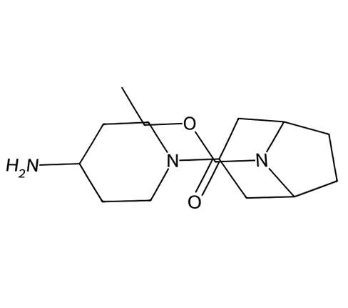 CCOC(=O)N1C2CCC1CC(N1CCC(N)CC1)C2